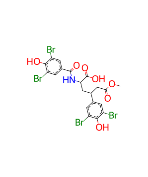 COC(=O)CC(CC(NC(=O)c1cc(Br)c(O)c(Br)c1)C(=O)O)c1cc(Br)c(O)c(Br)c1